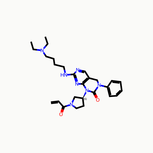 C=CC(=O)N1CC[C@H](N2C(=O)N(c3ccccc3)Cc3cnc(NCCCCN(CC)CC)nc32)C1